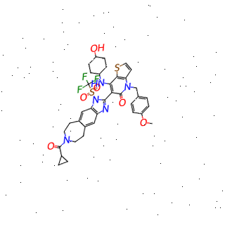 COc1ccc(Cn2c(=O)c(-c3nc4cc5c(cc4n3S(=O)(=O)C(F)(F)F)CCN(C(=O)C3CC3)CC5)c(NC3CCC(O)CC3)c3sccc32)cc1